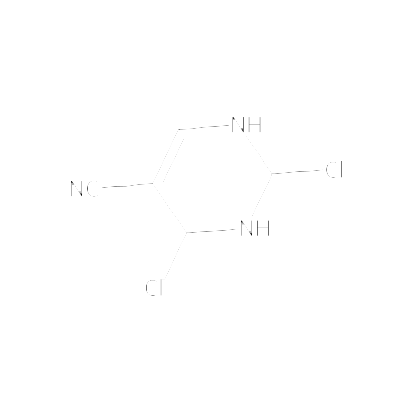 N#CC1=CNC(Cl)NC1Cl